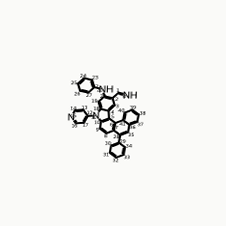 N=Cc1cc2c3c4c(ccc3n(-c3ccncc3)c2cc1Nc1ccccc1)c(-c1ccccc1)cc1ccccc14